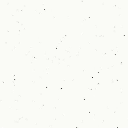 CN1CC[C@]23c4c5ccc(OCc6ccccc6)c4O[C@H]2C(=O)C=C[C@H]3[C@H]1C5